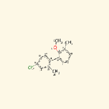 COc1c(C)cccc1-c1ccc(Cl)cc1C